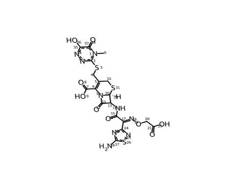 Cn1c(SCC2=C(C(=O)O)N3C(=O)C(NC(=O)C(=NOCC(=O)O)c4nsc(N)n4)[C@@H]3SC2)nnc(O)c1=O